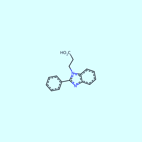 O=C(O)CCn1c(-c2ccccc2)nc2ccccc21